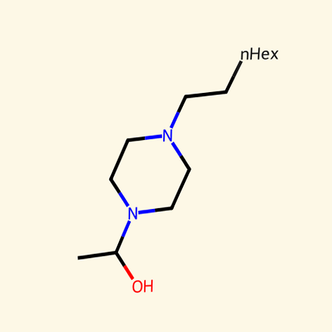 CCCCCCCCN1CCN(C(C)O)CC1